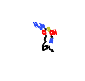 CCCCCOC(N)=S.N#CO